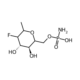 CC1OC(COP(N)(=O)O)[C@@H](O)[C@H](O)C1F